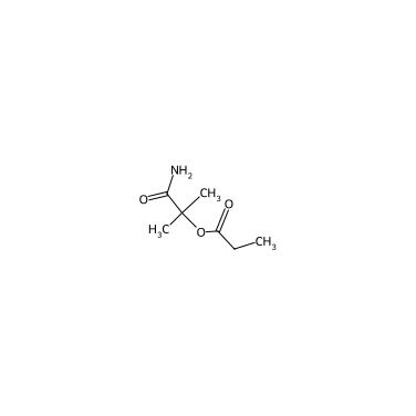 CCC(=O)OC(C)(C)C(N)=O